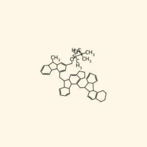 CC1C2C=CC=CC2C2C(CC3C4C=CC=CC4C4C(CC5C6C=CC=CC6C6C7=C(C=CC56)CCCC7)=C5CCCC5=CC34)=CC(CO[Si](C)(C)C(C)(C)C)=CC12